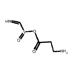 N=CS(=O)OC(=O)CCN